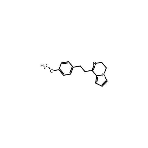 COc1ccc(CCC2=NCCn3cccc32)cc1